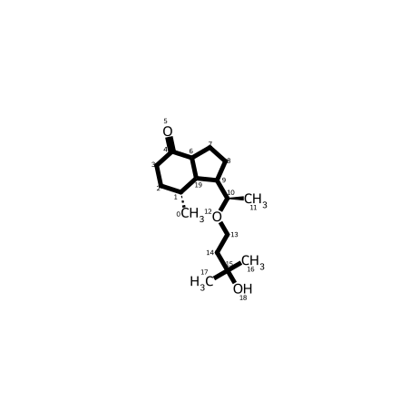 C[C@@H]1CCC(=O)C2CCC([C@@H](C)OCCC(C)(C)O)C21